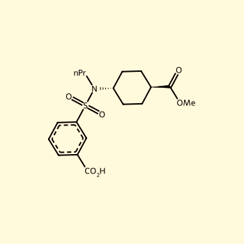 CCCN([C@H]1CC[C@H](C(=O)OC)CC1)S(=O)(=O)c1cccc(C(=O)O)c1